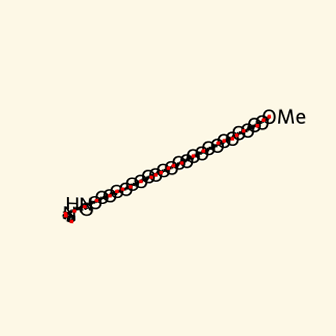 COCCOCCOCCOCCOCCOCCOCCOCCOCCOCCOCCOCCOCCOCCOCCOCCOCCOCCOCCOCCOCCOCCOCCOCCNC(=O)CCCCC[N+]1=C(C)C(C)(C)c2ccccc21